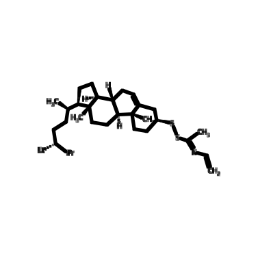 C=C/N=C(\C)SS[C@H]1CC[C@@]2(C)C(=CC[C@H]3[C@@H]4CC[C@H]([C@H](C)CC[C@@H](CC)C(C)C)[C@@]4(C)CC[C@@H]32)C1